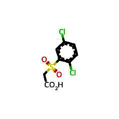 O=C(O)CS(=O)(=O)c1cc(Cl)ccc1Cl